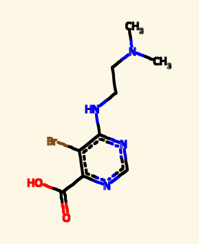 CN(C)CCNc1ncnc(C(=O)O)c1Br